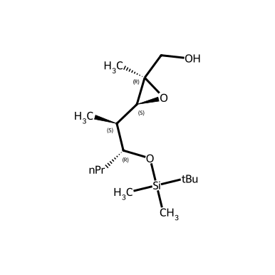 CCC[C@@H](O[Si](C)(C)C(C)(C)C)[C@@H](C)[C@@H]1O[C@]1(C)CO